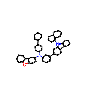 c1ccc(-c2ccc(N(c3cccc(-c4ccc5c6ccccc6n(-c6cccc7ccccc67)c5c4)c3)c3ccc4oc5ccccc5c4c3)cc2)cc1